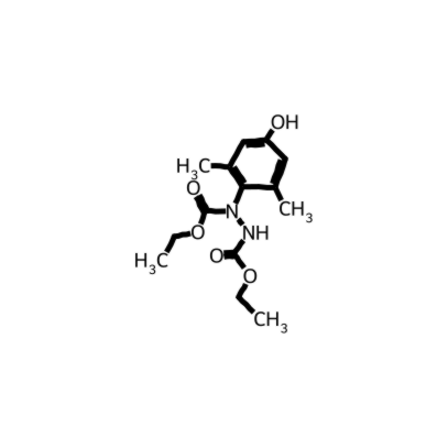 CCOC(=O)NN(C(=O)OCC)c1c(C)cc(O)cc1C